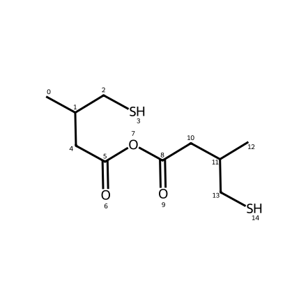 CC(CS)CC(=O)OC(=O)CC(C)CS